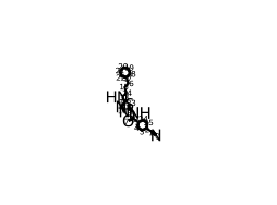 N#Cc1ccc(C(=O)Nc2nnc(NCCCc3ccccc3)s2)cc1